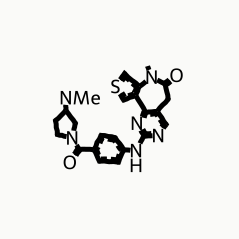 CNC1CCN(C(=O)c2ccc(Nc3ncc4c(n3)-c3cscc3N(C)C(=O)C4)cc2)C1